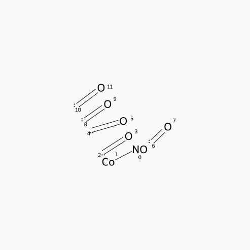 O=[N][Co].[C]=O.[C]=O.[C]=O.[C]=O.[C]=O